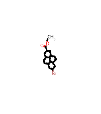 CCOC(=O)c1cc2ccc3cc(Br)cc4ccc(c1)c2c34